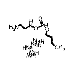 CCCCO[PH](=O)ONCCN.[NaH].[NaH].[NaH].[NaH].[NaH]